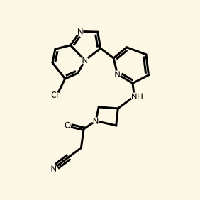 N#CCC(=O)N1CC(Nc2cccc(-c3cnc4ccc(Cl)cn34)n2)C1